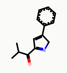 CC(C)C(=O)C1=NCC(c2ccccc2)=C1